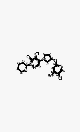 O=c1c(Cl)c(N2CC[C@@H](Oc3cc(Br)c(Cl)cn3)C2)cnn1C1CCCCO1